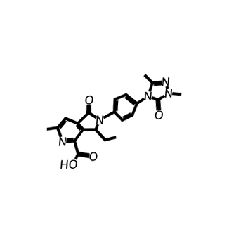 CCC1c2c(cc(C)nc2C(=O)O)C(=O)N1c1ccc(-n2c(C)nn(C)c2=O)cc1